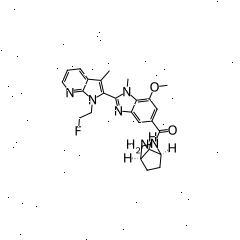 COc1cc(C(=O)N2C[C@@H]3CC[C@H]2[C@H]3N)cc2nc(-c3c(C)c4cccnc4n3CCF)n(C)c12